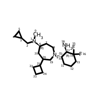 CN(CC1CC1)[C@H]1CCN([C@H]2CCCC(F)(F)[C@@H]2N)CC(C2CCC2)C1